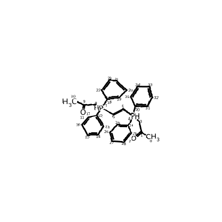 CC(=O)C[PH](CC[PH](CC(C)=O)(c1ccccc1)c1ccccc1)(c1ccccc1)c1ccccc1